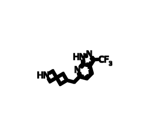 FC(F)(F)c1n[nH]c2nc(CC3CC4(CNC4)C3)ccc12